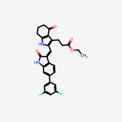 CCOC(=O)CCc1c(/C=C2\C(=O)Nc3cc(-c4cc(F)cc(F)c4)ccc32)[nH]c2c1C(=O)CCC2